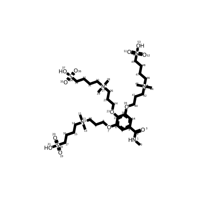 CNC(=O)c1cc(OCCC[N+](C)(C)CCCCS(=O)(=O)O)c(OCCC[N+](C)(C)CCCCS(=O)(=O)O)c(OCCC[N+](C)(C)CCCCS(=O)(=O)O)c1